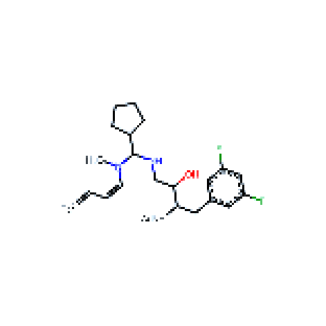 C=C/C=C\N(C)C(NCC(O)C(Cc1cc(F)cc(F)c1)NC(C)=O)C1CCCC1